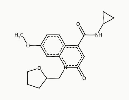 COc1ccc2c(C(=O)NC3CC3)cc(=O)n(CC3CCCO3)c2c1